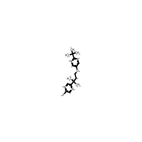 CC(C)(C)c1ncc(OCCC(C)(C)c2cnc(F)cn2)cn1